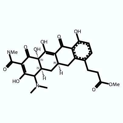 CNC(=O)C1=C(O)C(N(C)C)[C@@H]2C[C@@H]3Cc4c(CCC(=O)OC)ccc(O)c4C(=O)C3=C(O)[C@]2(O)C1=O